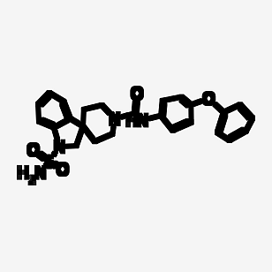 NS(=O)(=O)N1CC2(CCN(C(=O)Nc3ccc(Oc4ccccc4)cc3)CC2)c2ccccc21